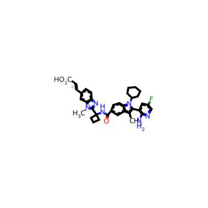 Cc1c(-c2cc(F)cnc2N)n(C2CCCCC2)c2ccc(C(=O)NC3(c4nc5ccc(/C=C/C(=O)O)cc5n4C)CCC3)cc12